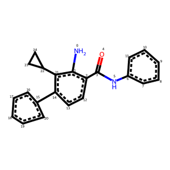 Nc1c(C(=O)Nc2ccccc2)ccc(-c2ccccc2)c1C1CC1